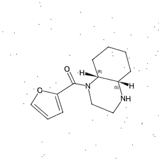 O=C(c1ccco1)N1CCN[C@H]2CCCC[C@H]21